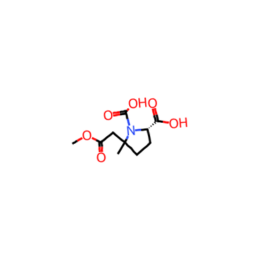 COC(=O)CC1(C)CC[C@@H](C(=O)O)N1C(=O)O